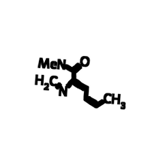 C=N/C(=C\C=C/C)C(=O)NC